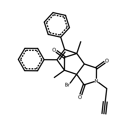 C#CCN1C(=O)C2C3(C)C(=O)C(C)(C(c4ccccc4)=C3c3ccccc3)C2(Br)C1=O